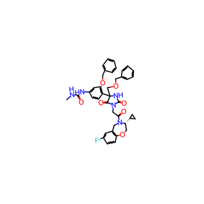 CNC(=O)Nc1ccc(C2(COCc3ccccc3)NC(=O)N(CC(=O)N3Cc4cc(F)ccc4OC[C@H]3C3CC3)C2=O)c(OCc2ccccc2)c1